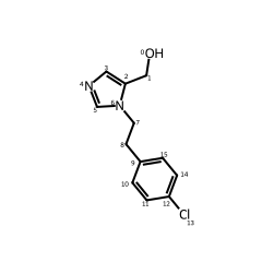 OCc1cncn1CCc1ccc(Cl)cc1